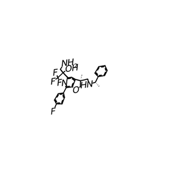 C[C@H](NC[C@@]1(C)COc2c1cc(C(O)(CN)C(F)(F)F)nc2-c1ccc(F)cc1)c1ccccc1